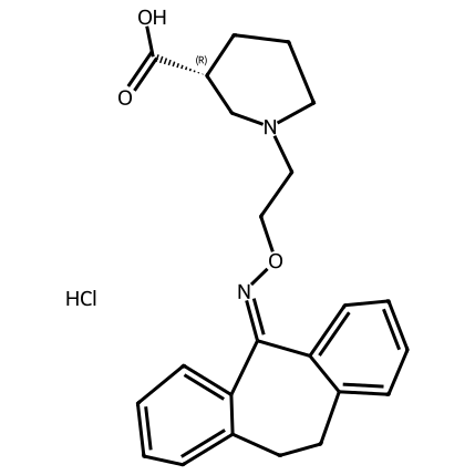 Cl.O=C(O)[C@@H]1CCCN(CCON=C2c3ccccc3CCc3ccccc32)C1